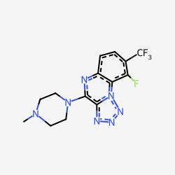 CN1CCN(c2nc3ccc(C(F)(F)F)c(F)c3n3nnnc23)CC1